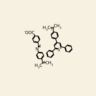 CN(C)c1ccc(-c2cc(-c3ccccc3)[s+]c(-c3ccccc3)c2)cc1.CN(C)c1ccc(N=Nc2ccc(C(=O)[O-])cc2)cc1